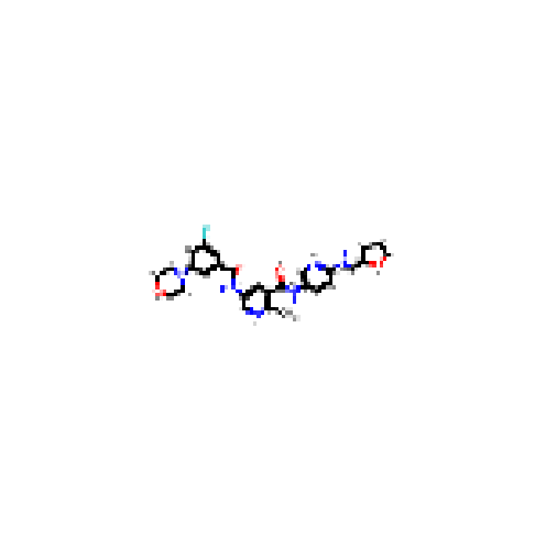 Cc1ncc(NC(=O)c2cc(F)cc(N3CCOCC3)c2)cc1C(=O)Nc1ccc(NCC2CCCO2)nc1